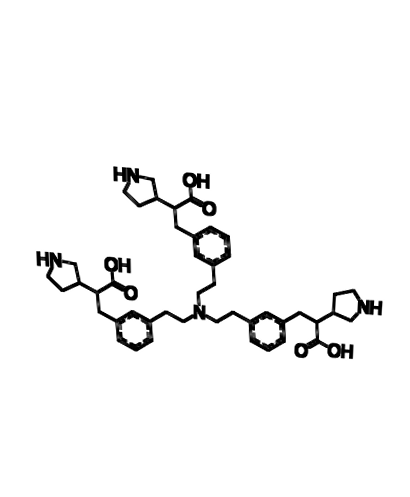 O=C(O)C(Cc1cccc(CCN(CCc2cccc(CC(C(=O)O)C3CCNC3)c2)CCc2cccc(CC(C(=O)O)C3CCNC3)c2)c1)C1CCNC1